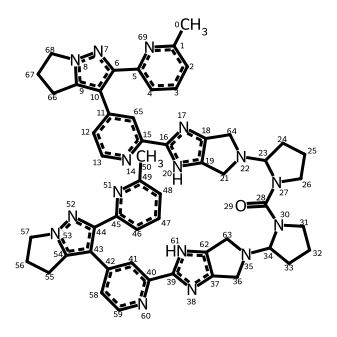 Cc1cccc(-c2nn3c(c2-c2ccnc(-c4nc5c([nH]4)CN(C4CCCN4C(=O)N4CCCC4N4Cc6nc(-c7cc(-c8c(-c9cccc(C)n9)nn9c8CCC9)ccn7)[nH]c6C4)C5)c2)CCC3)n1